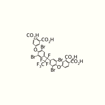 O=C(O)c1ccc(Oc2c(Br)cc(C(F)(c3cc(Br)c(Oc4ccc(C(=O)O)c(C(=O)O)c4)c(Br)c3)C(F)(F)C(F)(F)F)cc2Br)cc1C(=O)O